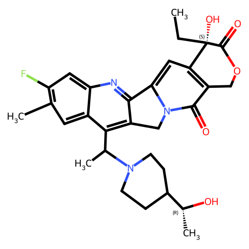 CC[C@@]1(O)C(=O)OCc2c1cc1n(c2=O)Cc2c-1nc1cc(F)c(C)cc1c2C(C)N1CCC([C@@H](C)O)CC1